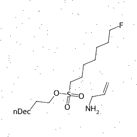 C=CCN.CCCCCCCCCCCCOS(=O)(=O)CCCCCCCF